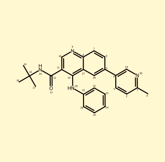 Cc1ccc(-c2ccc3ncc(C(=O)NC(C)(C)C)c(Nc4ccccc4)c3c2)cn1